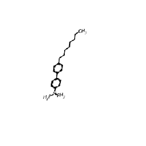 CCCCCCCCc1ccc(-c2ccc(N(P)P)cc2)cc1